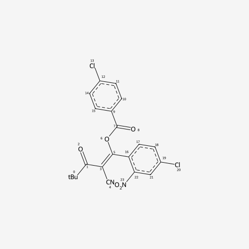 CC(C)(C)C(=O)/C(C#N)=C(\OC(=O)c1ccc(Cl)cc1)c1ccc(Cl)cc1[N+](=O)[O-]